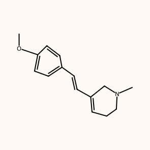 COc1ccc(C=CC2=CCCN(C)C2)cc1